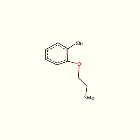 CSCCOc1ccccc1C(C)(C)C